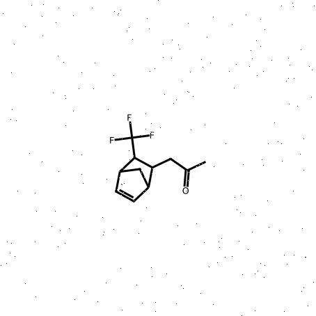 CC(=O)CC1C2C=CC(C2)C1C(F)(F)F